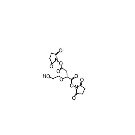 O=C(CC(OCCO)C(=O)ON1C(=O)CCC1=O)ON1C(=O)CCC1=O